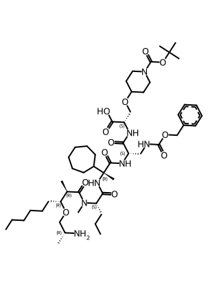 CCCCCC[C@@H](OC[C@@H](C)N)[C@@H](C)C(=O)N(C)[C@@H](CCC)C(=O)N[C@@](C)(C(=O)N[C@@H](CNC(=O)OCc1ccccc1)C(=O)N[C@@H](COC1CCN(C(=O)OC(C)(C)C)CC1)C(=O)O)C1CCCCCC1